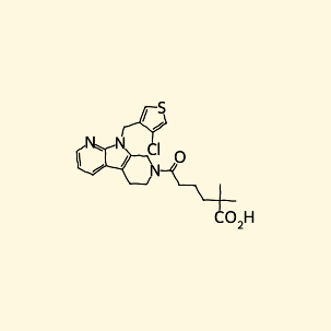 CC(C)(CCCC(=O)N1CCc2c(n(Cc3cscc3Cl)c3ncccc23)C1)C(=O)O